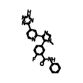 Cn1cnc(-c2cc(-c3nn[nH]n3)ccn2)c1-c1ccc(F)c(C(=O)Nc2ccccc2)c1